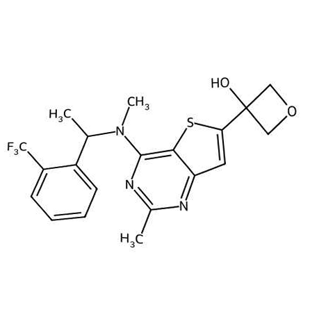 Cc1nc(N(C)C(C)c2ccccc2C(F)(F)F)c2sc(C3(O)COC3)cc2n1